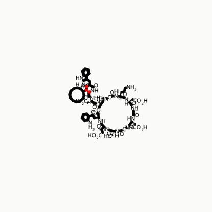 C[C@H](CC(=O)O)[C@@H]1NC(=O)[C@@H](CO)NC(=O)CNC(=O)[C@H](CC(=O)O)NC(=O)[C@@H](C)NC(=O)[C@H](CC(=O)O)NC(=O)[C@H](CCCN)NC(=O)CNC(=O)[C@@H](NC(=O)[C@H](CC(=O)O)NC(=O)[C@@H](CC(N)=O)NC(=O)C(Cc2c[nH]c3ccccc23)NC(=O)C2CCCCCCCCCCC2)[C@@H](C)OC(=O)[C@H](CC(=O)c2ccccc2N)NC1=O